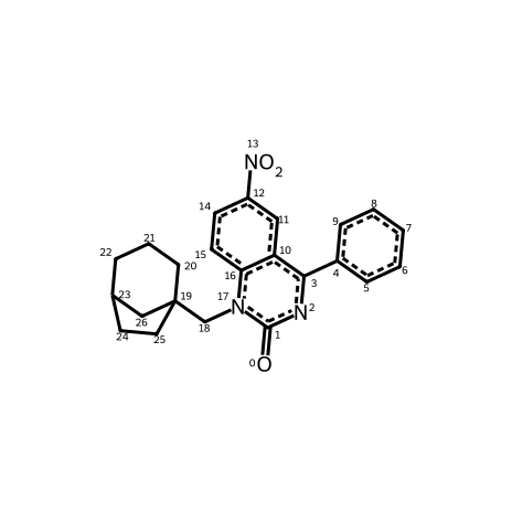 O=c1nc(-c2ccccc2)c2cc([N+](=O)[O-])ccc2n1CC12CCCC(CC1)C2